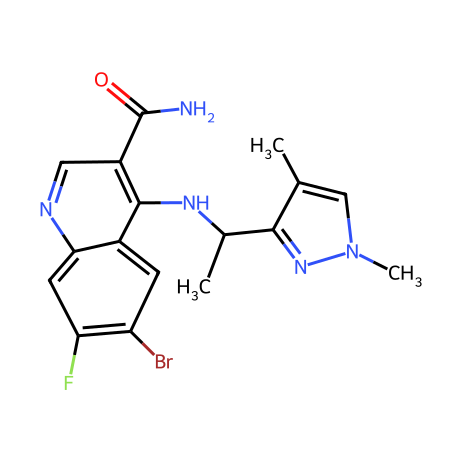 Cc1cn(C)nc1C(C)Nc1c(C(N)=O)cnc2cc(F)c(Br)cc12